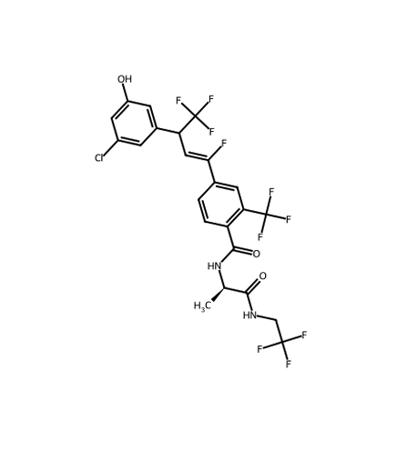 C[C@@H](NC(=O)c1ccc(/C(F)=C/C(c2cc(O)cc(Cl)c2)C(F)(F)F)cc1C(F)(F)F)C(=O)NCC(F)(F)F